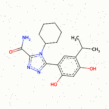 CC(C)c1cc(-c2nnc(C(N)=O)n2C2CCCCC2)c(O)cc1O